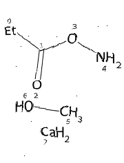 CCC(=O)ON.CO.[CaH2]